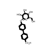 O=C(O)c1ccc(-c2ccc(O[C@@H]3O[C@H](CO)[C@@H](O)[C@H](O)[C@@H]3O)cc2)cc1